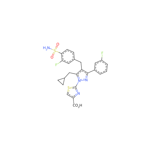 NS(=O)(=O)c1ccc(Cc2c(-c3cccc(F)c3)nn(-c3nc(C(=O)O)cs3)c2CC2CC2)cc1F